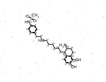 CS(=O)(=O)Nc1ccc(CCNCCCCCCC2c3ccc(O)c(O)c3CCC2N)cc1